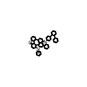 c1ccc(-c2ccccc2-c2ccc(N(c3ccccc3)c3ccc(-c4cccc5oc6ccc7c(c6c45)-c4ccccc4[SiH]7c4ccccc4)cc3)cc2)cc1